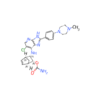 CN1CCN(c2ccc(-c3nc4c(N[C@@H]5[C@H](OC(N)=O)[C@H]6C=C[C@@H]5C6)c(Cl)cnc4[nH]3)cc2)CC1